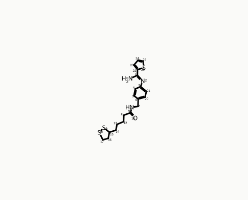 N/C(=N\c1ccc(CNC(=O)CCCCC2CCSS2)cc1)c1cccs1